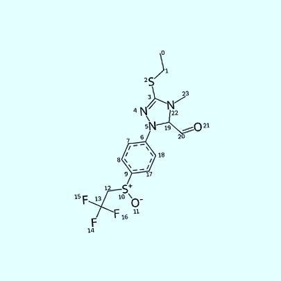 CCSC1=NN(c2ccc([S+]([O-])CC(F)(F)F)cc2)C(C=O)N1C